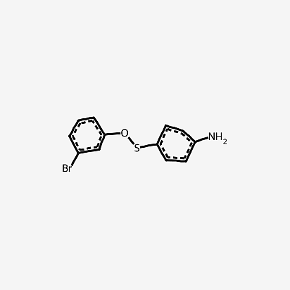 Nc1ccc(SOc2cccc(Br)c2)cc1